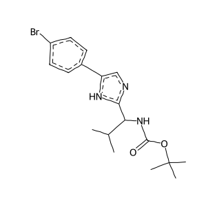 CC(C)C(NC(=O)OC(C)(C)C)c1ncc(-c2ccc(Br)cc2)[nH]1